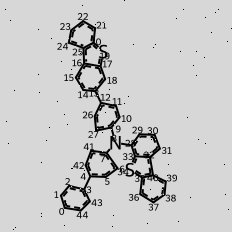 c1ccc(-c2ccc(N(c3ccc(-c4ccc5c(c4)sc4ccccc45)cc3)c3cccc4c3sc3ccccc34)cc2)cc1